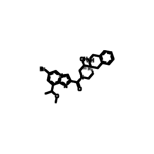 COC(C)c1cc(Br)cn2cc(C(=O)N3CC[C@]4(Cc5ccccc5CN4)[C@H](O)C3)nc12